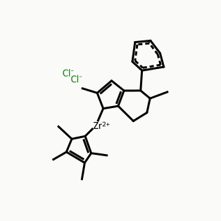 CC1=CC2=C(CCC(C)C2c2ccccc2)[CH]1[Zr+2][C]1=C(C)C(C)=C(C)C1C.[Cl-].[Cl-]